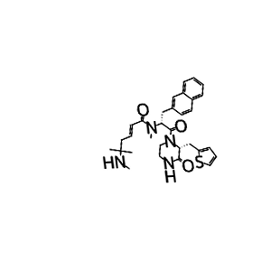 CNC(C)(C)C/C=C/C(=O)N(C)[C@H](Cc1ccc2ccccc2c1)C(=O)N1CCNC(=O)[C@H]1Cc1cccs1